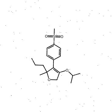 CCCC1(C)OCC(OC(C)C)=C1c1ccc(S(C)(=O)=O)cc1